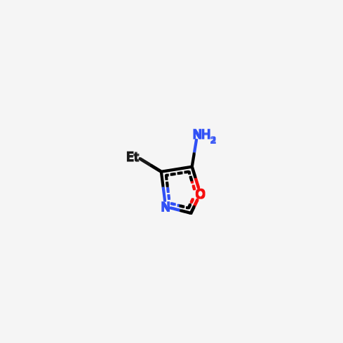 CCc1ncoc1N